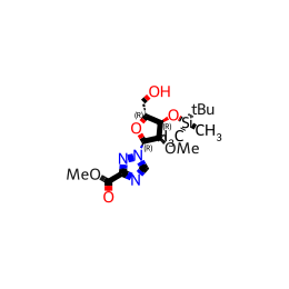 COC(=O)c1ncn([C@@H]2O[C@H](CO)[C@@H](O[Si](C)(C)C(C)(C)C)[C@H]2OC)n1